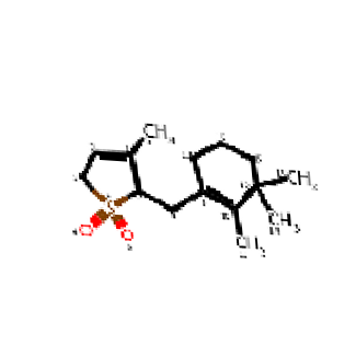 CC1=CCS(=O)(=O)C1CC1=C(C)C(C)(C)CCC1